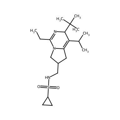 CCC1=NC(C(C)(C)C)C(C(C)C)=C2CC(CNS(=O)(=O)C3CC3)CN12